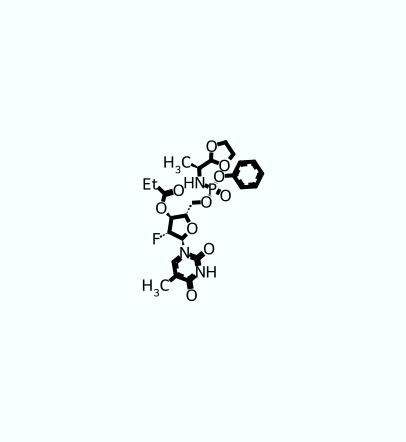 CCC(=O)O[C@@H]1[C@@H](F)[C@@H](n2cc(C)c(=O)[nH]c2=O)O[C@H]1COP(=O)(N[C@@H](C)C1OCCO1)Oc1ccccc1